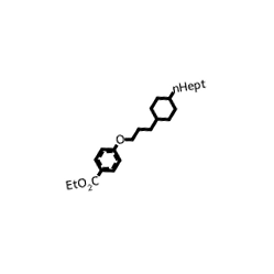 CCCCCCCC1CCC(CCCOc2ccc(C(=O)OCC)cc2)CC1